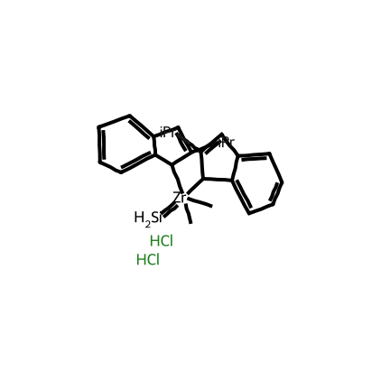 CC(C)C1=Cc2ccccc2[CH]1[Zr]([CH3])([CH3])(=[SiH2])[CH]1C(C(C)C)=Cc2ccccc21.Cl.Cl